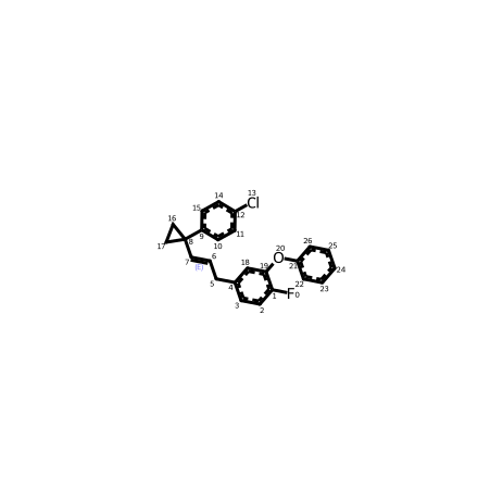 Fc1ccc(C/C=C/C2(c3ccc(Cl)cc3)CC2)cc1Oc1ccccc1